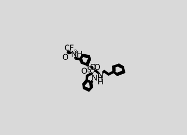 O=C(NCc1cccc(S(=O)(=O)[C@]2(C(=O)NCCc3ccccc3)Cc3ccccc3N2)c1)C(F)(F)F